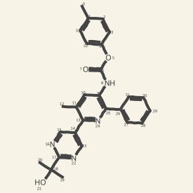 Cc1ccc(OC(=O)Nc2cc(C)c(-c3cnc(C(C)(C)O)nc3)nc2-c2ccccc2)cc1